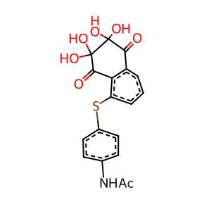 CC(=O)Nc1ccc(Sc2cccc3c2C(=O)C(O)(O)C(O)(O)C3=O)cc1